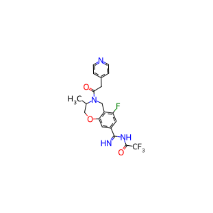 CC1COc2cc(C(=N)NC(=O)C(F)(F)F)cc(F)c2CN1C(=O)Cc1ccncc1